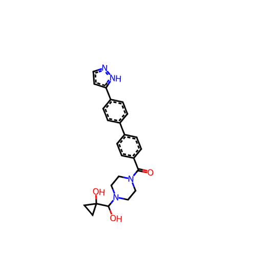 O=C(c1ccc(-c2ccc(-c3ccn[nH]3)cc2)cc1)N1CCN(C(O)C2(O)CC2)CC1